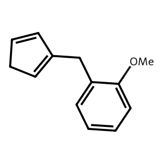 COc1ccccc1CC1=CCC=C1